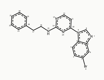 Brc1ccc2c(c1)ncn2-c1ccnc(NCCc2ccccc2)n1